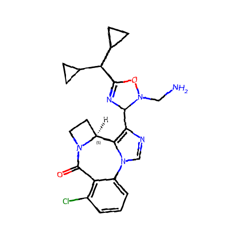 NCN1OC(C(C2CC2)C2CC2)=NC1c1ncn2c1[C@@H]1CCN1C(=O)c1c(Cl)cccc1-2